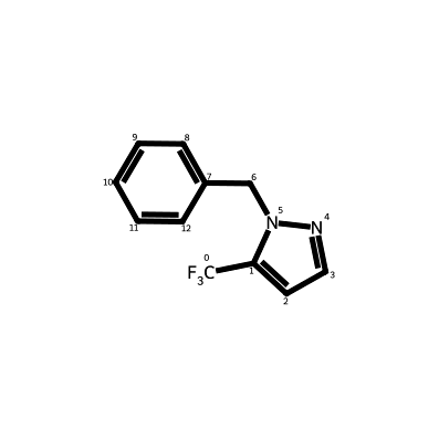 FC(F)(F)c1ccnn1Cc1ccccc1